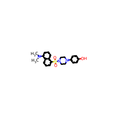 CN(C)c1cccc2c(S(=O)(=O)N3CCN(c4ccc(O)cc4)CC3)cccc12